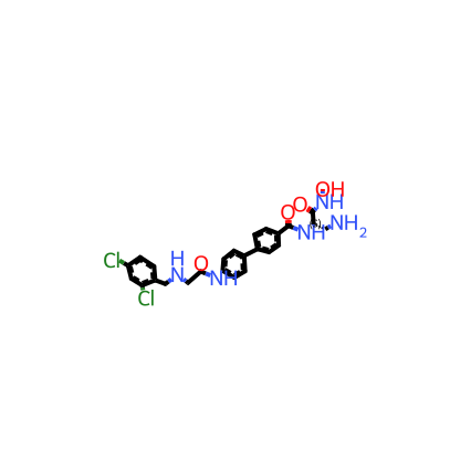 NC[C@H](NC(=O)c1ccc(-c2ccc(NC(=O)CNCc3ccc(Cl)cc3Cl)cc2)cc1)C(=O)NO